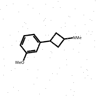 CNC1CC(c2cccc(OC)c2)C1